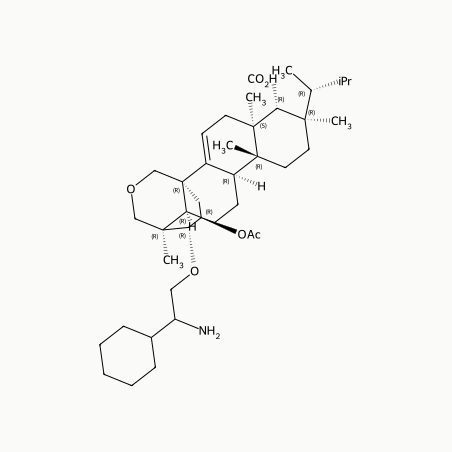 CC(=O)O[C@@H]1C[C@@]23COC[C@@](C)([C@@H]2CC[C@H]2C3=CC[C@@]3(C)[C@H](C(=O)O)[C@@](C)([C@H](C)C(C)C)CC[C@]23C)[C@H]1OCC(N)C1CCCCC1